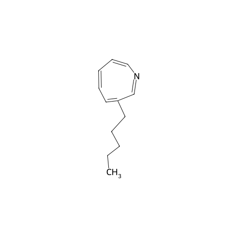 CCCCCC1=CC=CC=CN=C1